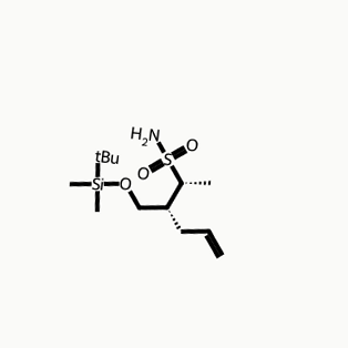 C=CC[C@H](CO[Si](C)(C)C(C)(C)C)[C@@H](C)S(N)(=O)=O